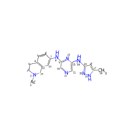 CC(=O)N1CCc2ccc(Nc3cncc(Nc4cc(C)[nH]n4)n3)cc2C1